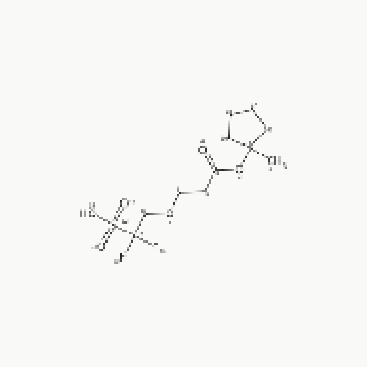 CC1(OC(=O)CCOCC(F)(F)S(=O)(=O)O)CCCC1